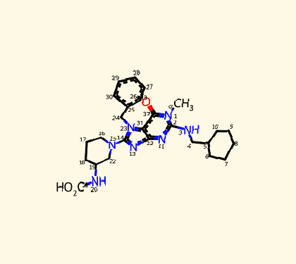 Cn1c(NCC2CCCCC2)nc2nc(N3CCCC(NC(=O)O)C3)n(Cc3ccccc3)c2c1=O